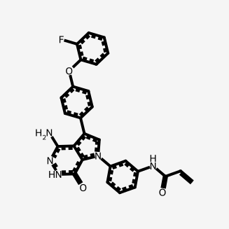 C=CC(=O)Nc1cccc(-n2cc(-c3ccc(Oc4ccccc4F)cc3)c3c(N)n[nH]c(=O)c32)c1